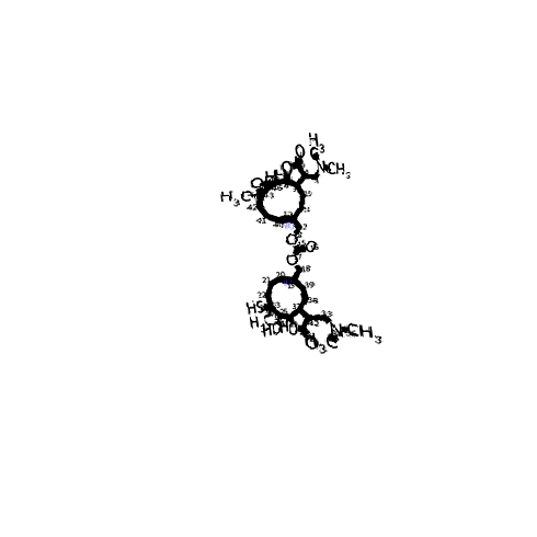 CN(C)CC1C(=O)O[C@H]2C1CC/C(COC(=O)OC/C1=C/CC[C@@](C)(S)[C@@H](O)[C@H]3OC(=O)C(CN(C)C)C3CC1)=C\CC[C@@]1(C)O[C@@H]21